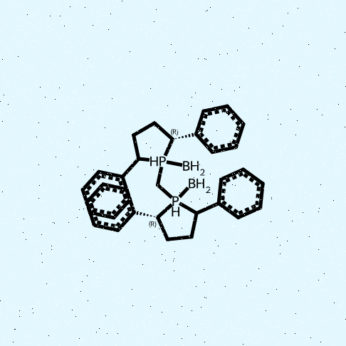 B[PH]1(C[PH]2(B)C(c3ccccc3)CC[C@@H]2c2ccccc2)C(c2ccccc2)CC[C@@H]1c1ccccc1